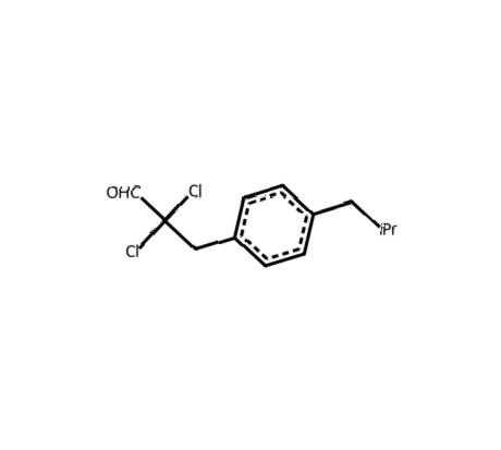 CC(C)Cc1ccc(CC(Cl)(Cl)C=O)cc1